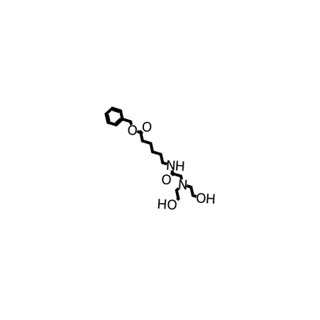 O=C(CN(CCO)CCO)NCCCCCC(=O)OCc1ccccc1